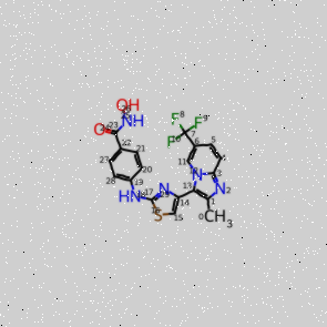 Cc1nc2ccc(C(F)(F)F)cn2c1-c1csc(Nc2ccc(C(=O)NO)cc2)n1